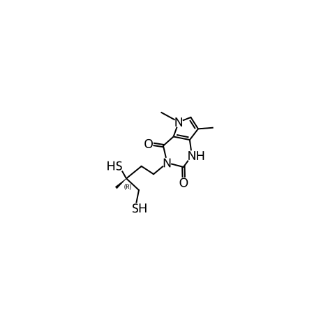 Cc1cn(C)c2c(=O)n(CC[C@@](C)(S)CS)c(=O)[nH]c12